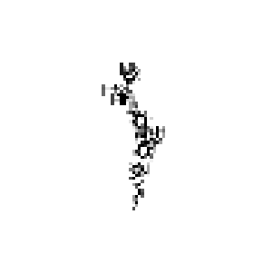 CCCCCc1nc(-c2ccc(S(=O)(=O)Nc3ccc(CCNCC(O)c4cccnc4)cc3)cc2)cs1